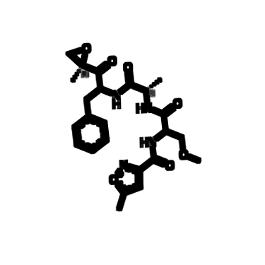 COCC(NC(=O)c1cc(C)on1)C(=O)N[C@@H](C)C(=O)NC(Cc1ccccc1)C(=O)[C@@]1(C)CO1